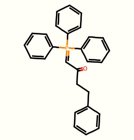 O=C(C=P(c1ccccc1)(c1ccccc1)c1ccccc1)CCc1ccccc1